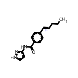 CCC/C=C/c1ccc(C(=O)Nc2cc[nH]n2)cc1